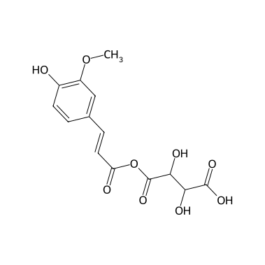 COc1cc(C=CC(=O)OC(=O)C(O)C(O)C(=O)O)ccc1O